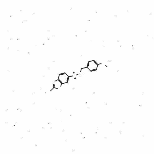 COc1ccc(CNS(=O)(=O)c2ccc3nc(Cl)sc3c2)cc1